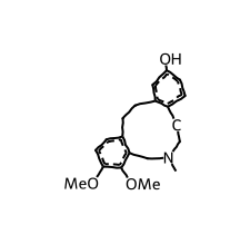 COc1ccc2c(c1OC)CN(C)CCc1ccc(O)cc1CC2